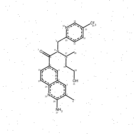 Cc1cc2cc(C(=O)N(Cc3ccc(C(F)(F)F)cn3)N(C)CCO)ccc2nc1N